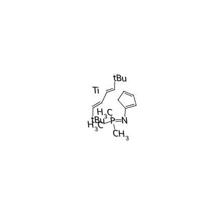 CC(C)(C)C=CC=CC(C)(C)C.CP(C)(C)=NC1=CC=CC1.[Ti]